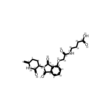 C=C1CCC(N2C(=O)c3cccc(OCC(=O)NCCCC(=O)O)c3C2=O)C(=O)N1